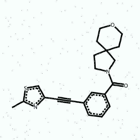 Cc1nc(C#Cc2cccc(C(=O)N3CCC4(CCOCC4)C3)c2)cs1